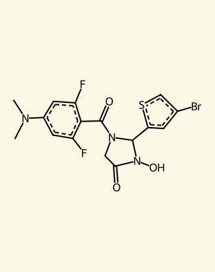 CN(C)c1cc(F)c(C(=O)N2CC(=O)N(O)C2c2cc(Br)cs2)c(F)c1